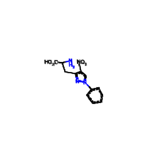 NC(Cc1nn(-c2ccccc2)cc1[N+](=O)[O-])C(=O)O